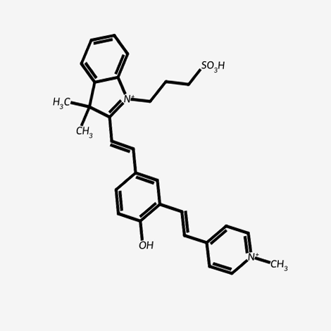 C[n+]1ccc(/C=C/c2cc(/C=C/C3=[N+](CCCS(=O)(=O)O)c4ccccc4C3(C)C)ccc2O)cc1